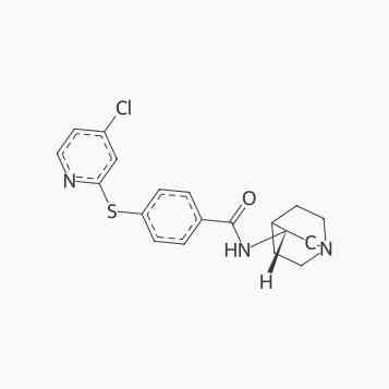 O=C(N[C@H]1CN2CCC1CC2)c1ccc(Sc2cc(Cl)ccn2)cc1